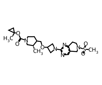 C[C@H]1CN(C(=O)OC2(C)CC2)CCC1COC1CN(c2ncc3c(n2)CCN(S(C)(=O)=O)C3)C1